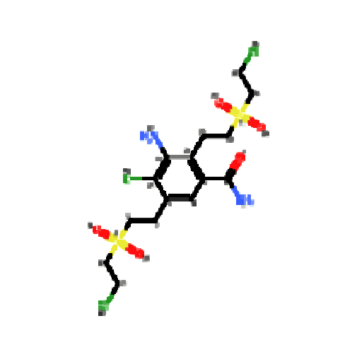 NC(=O)c1cc(CCS(=O)(=O)CCCl)c(Cl)c(N)c1CCS(=O)(=O)CCCl